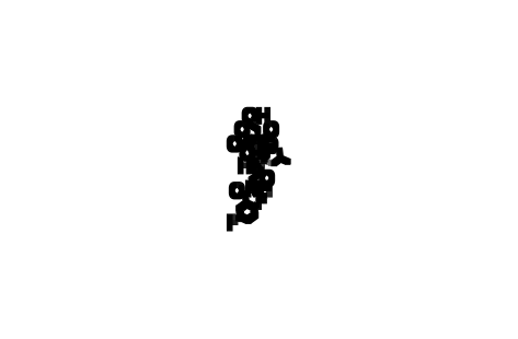 CC(C)C[C@H](NC(=O)CNC(=O)c1cc(F)ccc1F)B1OC(=O)C(CC(=O)O)(CC(=O)O)O1